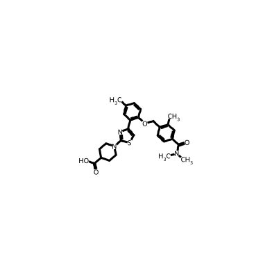 Cc1ccc(OCc2ccc(C(=O)N(C)C)cc2C)c(-c2csc(N3CCC(C(=O)O)CC3)n2)c1